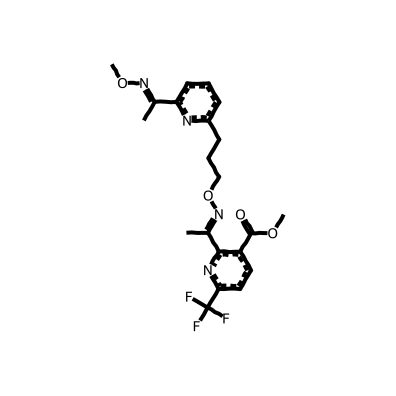 CO/N=C(\C)c1cccc(CCCO/N=C(\C)c2nc(C(F)(F)F)ccc2C(=O)OC)n1